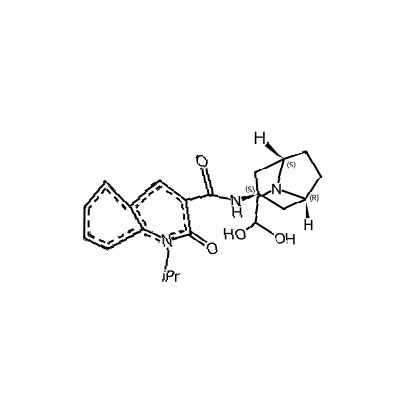 CC(C)n1c(=O)c(C(=O)N[C@@H]2C[C@H]3CC[C@@H](C2)N3CC(O)O)cc2ccccc21